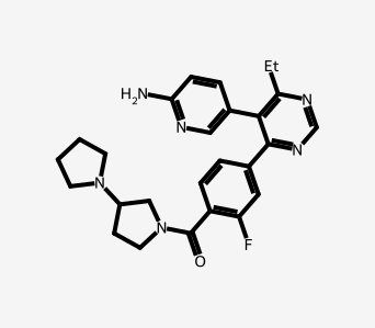 CCc1ncnc(-c2ccc(C(=O)N3CCC(N4CCCC4)C3)c(F)c2)c1-c1ccc(N)nc1